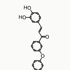 O=C(/C=C/c1ccc(O)c(O)c1)c1cccc(Oc2ccccc2)c1